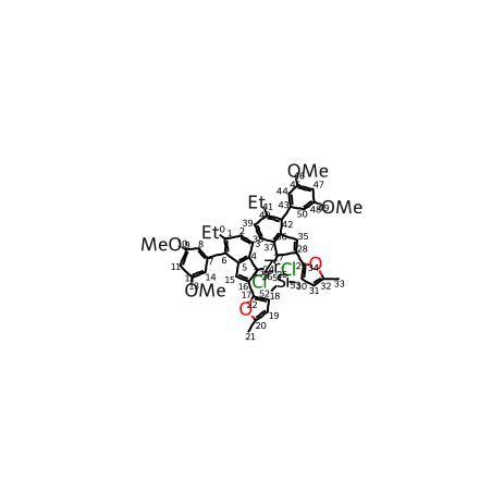 CCc1ccc2c(c1-c1cc(OC)cc(OC)c1)C=C(c1ccc(C)o1)[CH]2[Zr]([Cl])([Cl])([CH]1C(c2ccc(C)o2)=Cc2c1ccc(CC)c2-c1cc(OC)cc(OC)c1)=[Si](C)C